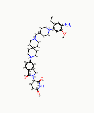 CCc1cc(N)c(OC)cc1N1CCC(CN2CCC3(CC2)CCN(c2ccc4c(c2)CN(C2CCC(=O)NC2=O)C4=O)CC3)CC1